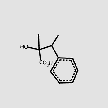 CC(c1ccccc1)C(C)(O)C(=O)O